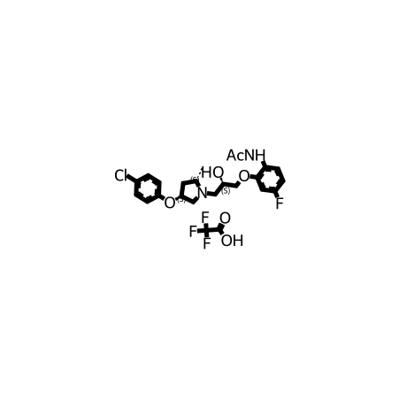 CC(=O)Nc1ccc(F)cc1OC[C@@H](O)CN1C[C@@H](Oc2ccc(Cl)cc2)C[C@@H]1C.O=C(O)C(F)(F)F